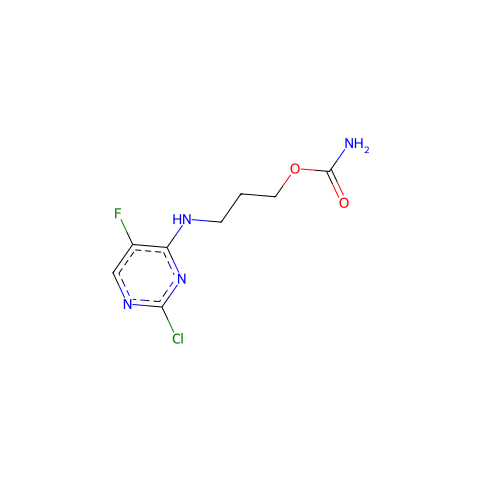 NC(=O)OCCCNc1nc(Cl)ncc1F